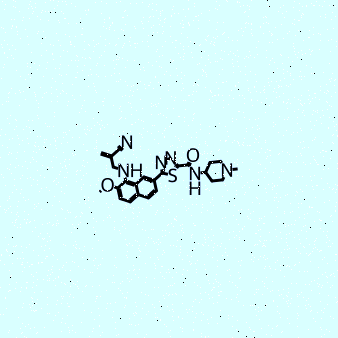 C=C(C#N)CNc1c(OC)ccc2ccc(-c3nnc(C(=O)NC4CCN(C)CC4)s3)cc12